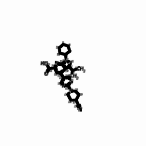 CC(C)c1nn(C2CCCCC2)c2nc(C(=O)O)cc(-c3cnc(N4CCC(C#N)CC4)nc3)c12